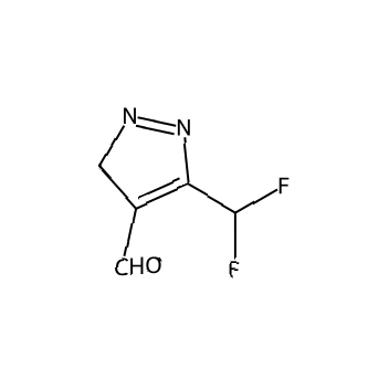 O=CC1=C(C(F)F)N=NC1